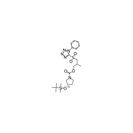 CC(COC(=O)N1CC[C@H](O[Si](C)(C)C(C)(C)C)C1)CS(=O)(=O)c1nnnn1-c1ccccc1